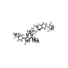 Cc1noc(C)c1-c1ccc(CN2CCC(O)(Cn3cnc4c(-c5ccc(CN)cc5)n(C)nc4c3=O)CC2)c(F)c1.Cl.Cl